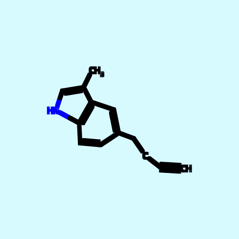 C#CCCc1ccc2[nH]cc(C)c2c1